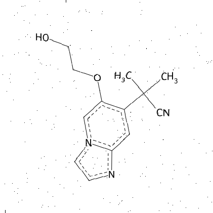 CC(C)(C#N)c1cc2nccn2cc1OCCO